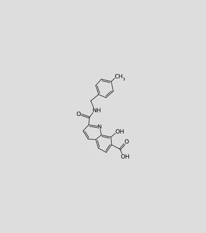 Cc1ccc(CNC(=O)c2ccc3ccc(C(=O)O)c(O)c3n2)cc1